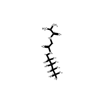 CC(C)C(=O)OCC(=O)OCC(F)(F)C(F)(F)C(F)(F)C(F)(F)F